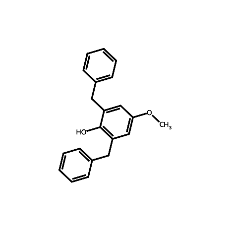 COc1cc(Cc2ccccc2)c(O)c(Cc2ccccc2)c1